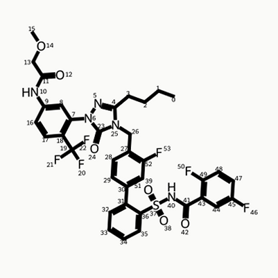 CCCCc1nn(-c2cc(NC(=O)COC)ccc2C(F)(F)F)c(=O)n1Cc1ccc(-c2ccccc2S(=O)(=O)NC(=O)c2cc(F)ccc2F)cc1F